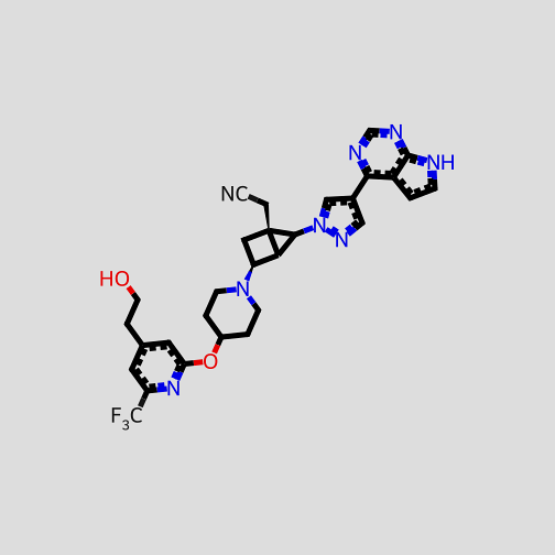 N#CC[C@]12C[C@H](N3CCC(Oc4cc(CCO)cc(C(F)(F)F)n4)CC3)C1C2n1cc(-c2ncnc3[nH]ccc23)cn1